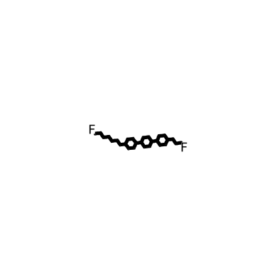 FCCCCCCCC1CCC(C2CCC(C3CCC(CCCF)CC3)CC2)CC1